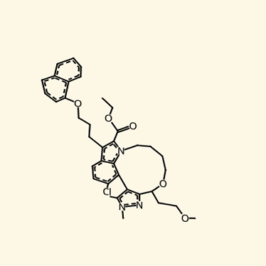 CCOC(=O)c1c(CCCOc2cccc3ccccc23)c2ccc(Cl)c3c2n1CCCCOC(CCOC)c1nn(C)c(C)c1-3